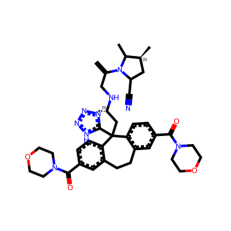 C=C(CN[C@@H](C)CC1(c2nnn[nH]2)c2ccc(C(=O)N3CCOCC3)cc2CCc2cc(C(=O)N3CCOCC3)ccc21)N1C(C#N)C[C@H](C)C1C